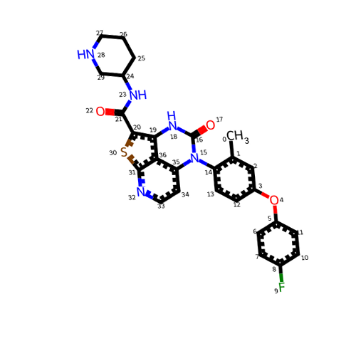 Cc1cc(Oc2ccc(F)cc2)ccc1N1C(=O)Nc2c(C(=O)NC3CCCNC3)sc3nccc1c23